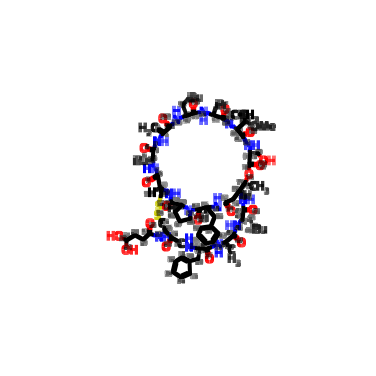 C=C1NC(=O)[C@H]([C@@H](C)CC)NC(=O)[C@H]2CSSC[C@H](NC(=O)CCC(O)O)C(=O)CN[C@H](Cc3ccccc3)C(=O)N[C@H](C)C(=O)N[C@@H](C[C@@H](C)CC)C(=O)N[C@@H](CC(=O)N[C@H](Cc3ccccc3)C(=O)N3CCC[C@H]3C(=O)N2)[C@@H](C)OC(=O)[C@H](CO)NC(=O)[C@H]([C@@H](C)OC)N(C)C(=O)C(C(C)C)NC(=O)[C@H](C[C@H](C)CC)NC1=O